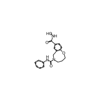 O=C(NO)c1ccc2c(c1)CN(C(=O)Nc1ccccc1)CCCO2